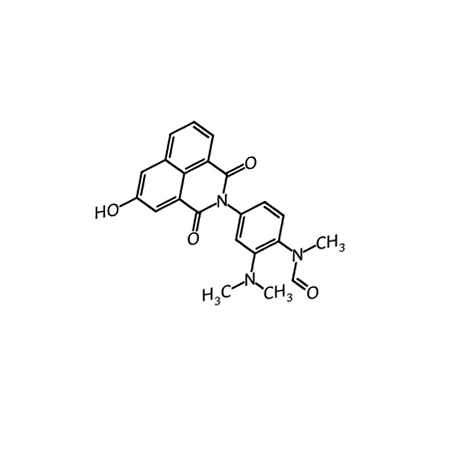 CN(C)c1cc(N2C(=O)c3cccc4cc(O)cc(c34)C2=O)ccc1N(C)C=O